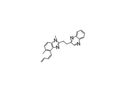 C=C/C=C\c1c(C)ccc2c1nc(CCc1cnc3ccccc3n1)n2C